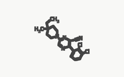 CCC1(C)CCN(c2cnc(-c3cccc(Cl)c3Cl)c(C#N)n2)CC1